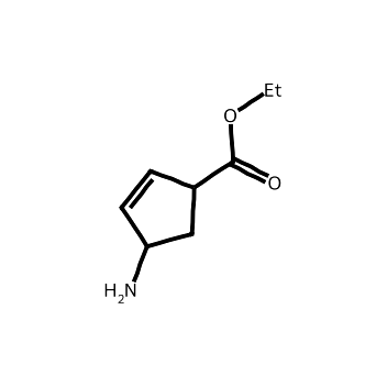 CCOC(=O)C1C=CC(N)C1